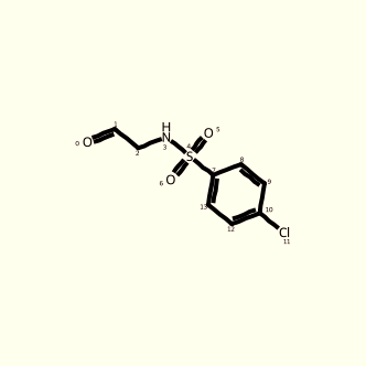 O=CCNS(=O)(=O)c1ccc(Cl)cc1